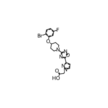 O=C(O)Cn1ccc(-c2nc(N3CCC(Oc4cc(F)ccc4Br)CC3)no2)n1